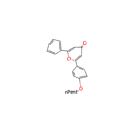 CCCCCOc1ccc(-c2cc(=O)cc(-c3ccccc3)o2)cc1